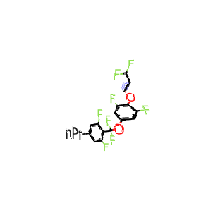 CCCc1cc(F)c(C(F)(F)Oc2cc(F)c(O/C=C/C(F)F)c(F)c2)c(F)c1